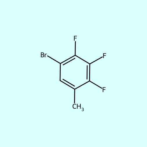 Cc1cc(Br)c(F)c(F)c1F